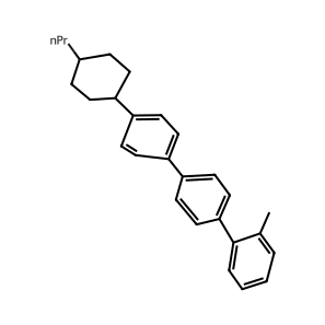 CCCC1CCC(c2ccc(-c3ccc(-c4ccccc4C)cc3)cc2)CC1